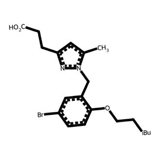 CCC(C)CCOc1ccc(Br)cc1Cn1nc(CCC(=O)O)cc1C